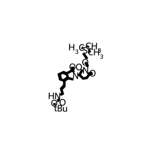 CC(C)(C)OC(=O)NC/C=C/c1cccc2c1CN(C1CCC(=O)N(COCC[Si](C)(C)C)C1=O)C2=O